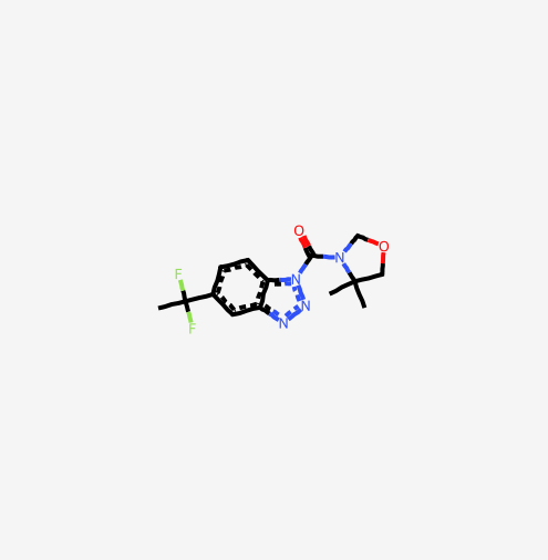 CC(F)(F)c1ccc2c(c1)nnn2C(=O)N1COCC1(C)C